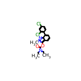 CCN(CC)C(=O)Oc1c2cccc(-c3ccc(Cl)cc3Cl)c2nn1C